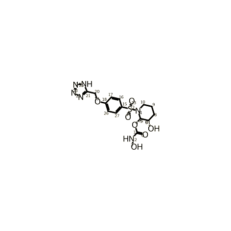 O=C(NO)O[C@@H]1[C@@H](O)CCCN1S(=O)(=O)c1ccc(OCc2nnn[nH]2)cc1